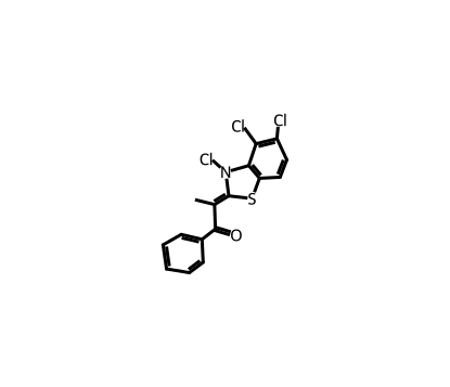 CC(C(=O)c1ccccc1)=C1Sc2ccc(Cl)c(Cl)c2N1Cl